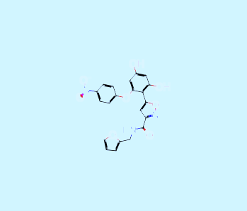 O=C(NCc1ccco1)c1cc(-c2c(O)cc(O)cc2Oc2ccc([N+](=O)[O-])cc2)on1